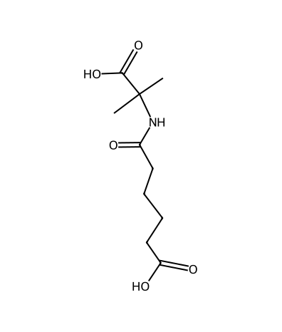 CC(C)(NC(=O)CCCCC(=O)O)C(=O)O